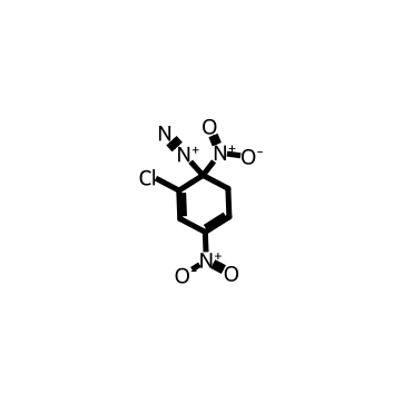 N#[N+]C1([N+](=O)[O-])CC=C([N+](=O)[O-])C=C1Cl